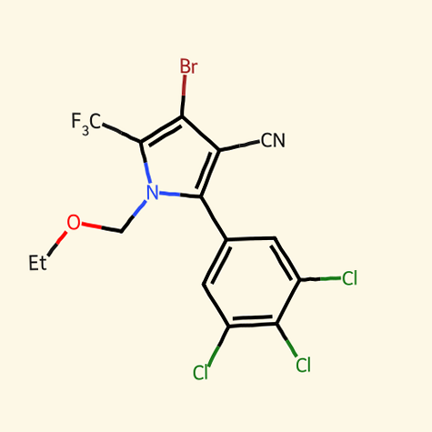 CCOCn1c(-c2cc(Cl)c(Cl)c(Cl)c2)c(C#N)c(Br)c1C(F)(F)F